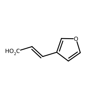 O=C(O)C=Cc1ccoc1